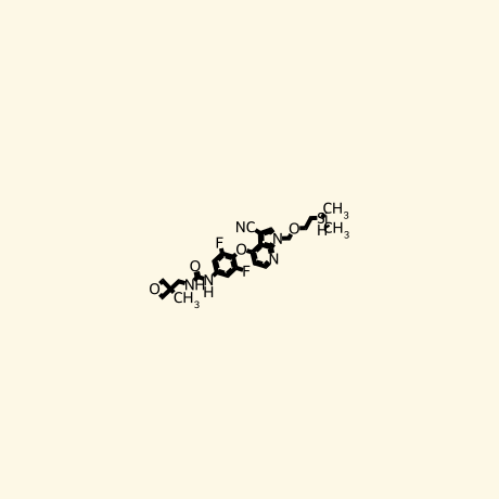 C[SiH](C)CCOCn1cc(C#N)c2c(Oc3c(F)cc(NC(=O)NCC4(C)COC4)cc3F)ccnc21